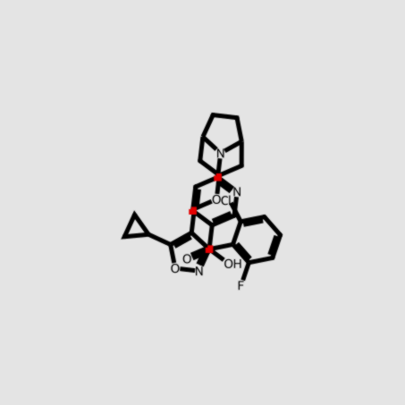 O=C(O)c1ccc(N2C3CCC2CC(OCc2c(-c4c(F)cccc4Cl)noc2C2CC2)C3)nc1